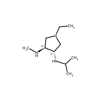 CCN1C[C@H](NC)[C@@H](NC(C)C)C1